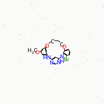 COc1cc2cc(c1)OCCCCCOc1cccc(Br)c1Nc1cc(ncn1)N2